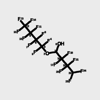 OC(OC(F)(F)C(F)(F)C(F)(F)C(F)(F)F)C(F)(F)C(F)(F)C(F)F